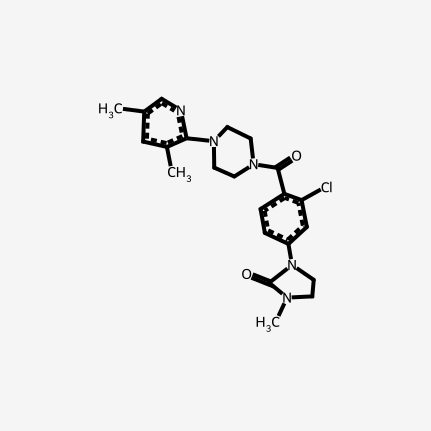 Cc1cnc(N2CCN(C(=O)c3ccc(N4CCN(C)C4=O)cc3Cl)CC2)c(C)c1